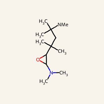 CNC(C)(C)CC(C)(C)C1OC1N(C)C